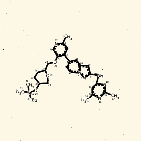 Cc1cc(-c2ccn3nc(Nc4cc(C)nc(C)n4)cc3c2)c(OCC2CCC(O[Si](C)(C)C(C)(C)C)CO2)cn1